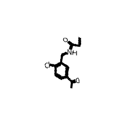 CCC(=O)NCc1cc(C(C)=O)ccc1Cl